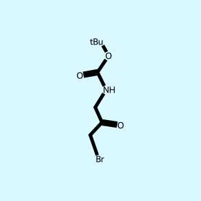 CC(C)(C)OC(=O)NCC(=O)CBr